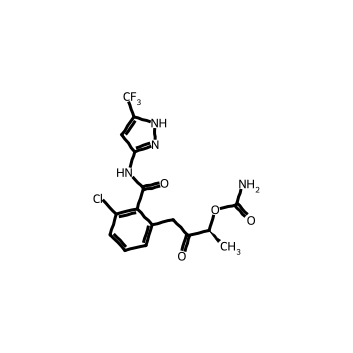 C[C@H](OC(N)=O)C(=O)Cc1cccc(Cl)c1C(=O)Nc1cc(C(F)(F)F)[nH]n1